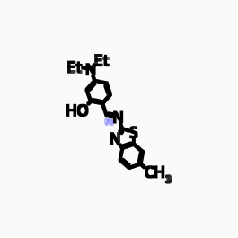 CCN(CC)c1ccc(/C=N/c2nc3ccc(C)cc3s2)c(O)c1